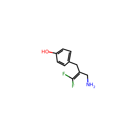 NCC(Cc1ccc(O)cc1)=C(F)F